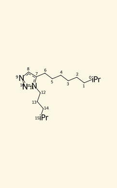 CC(C)CCCCCCc1cnnn1CCCC(C)C